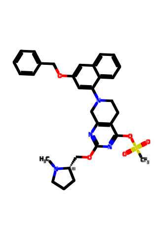 CN1CCC[C@H]1COc1nc2c(c(OS(=O)(=O)C(F)(F)F)n1)CCN(c1cc(OCc3ccccc3)cc3ccccc13)C2